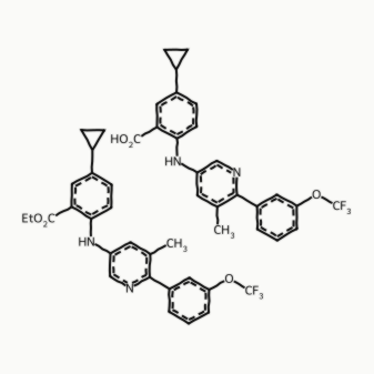 CCOC(=O)c1cc(C2CC2)ccc1Nc1cnc(-c2cccc(OC(F)(F)F)c2)c(C)c1.Cc1cc(Nc2ccc(C3CC3)cc2C(=O)O)cnc1-c1cccc(OC(F)(F)F)c1